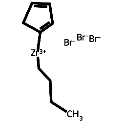 CCC[CH2][Zr+3][C]1=CC=CC1.[Br-].[Br-].[Br-]